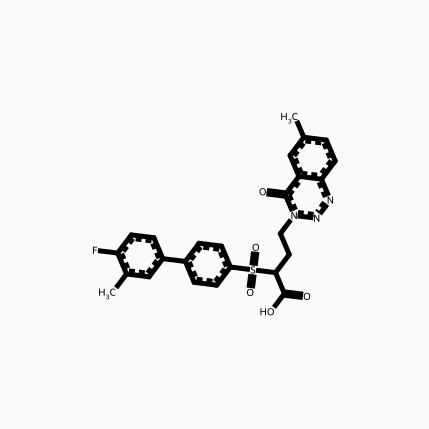 Cc1ccc2nnn(CCC(C(=O)O)S(=O)(=O)c3ccc(-c4ccc(F)c(C)c4)cc3)c(=O)c2c1